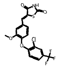 COc1cc(/C=C2\SC(=O)NC2=O)ccc1Oc1ccc(C(F)(F)F)cc1Cl